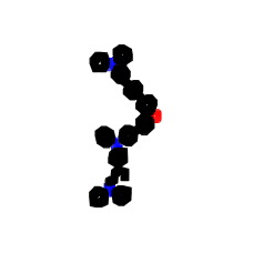 C=C/C(=C\C=C\N(c1ccccc1)c1ccccc1)c1ccc(N(c2ccccc2)c2ccc(-c3ccc4oc5ccc(-c6ccc(-c7ccc8c(c7)c7c(n8C8=CC=CCC8)=CCCC=7)cc6)cc5c4c3)cc2)cc1